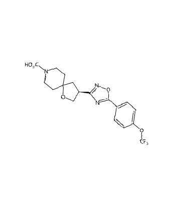 O=C(O)N1CCC2(CC1)C[C@@H](c1noc(-c3ccc(OC(F)(F)F)cc3)n1)CO2